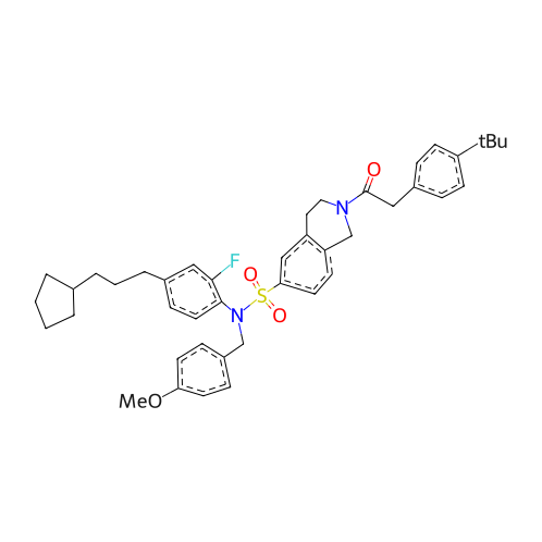 COc1ccc(CN(c2ccc(CCCC3CCCC3)cc2F)S(=O)(=O)c2ccc3c(c2)CCN(C(=O)Cc2ccc(C(C)(C)C)cc2)C3)cc1